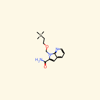 C[Si](C)(C)CCOCn1c(C(N)=O)cc2cccnc21